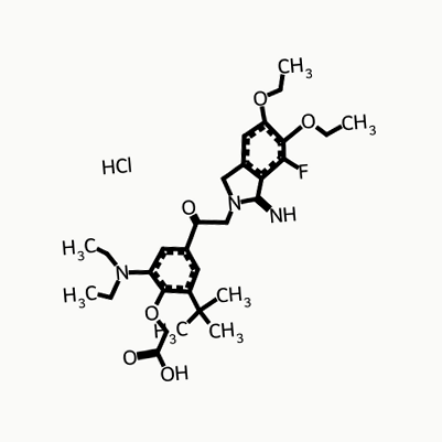 CCOc1cc2c(c(F)c1OCC)C(=N)N(CC(=O)c1cc(N(CC)CC)c(OCC(=O)O)c(C(C)(C)C)c1)C2.Cl